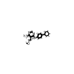 CON=Cc1c(N)ncnc1Nc1ccc(C2CCCCC2)cc1